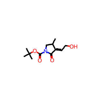 CC1CN(C(=O)OC(C)(C)C)C(=O)/C1=C/CO